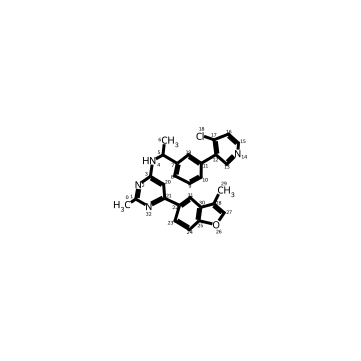 Cc1nc(NC(C)c2cccc(-c3cnccc3Cl)c2)cc(-c2ccc3occ(C)c3c2)n1